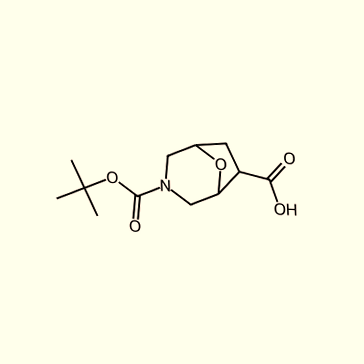 CC(C)(C)OC(=O)N1CC2CC(C(=O)O)C(C1)O2